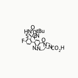 CC(C)(C)OC(=O)Nc1sc2c(F)ccc(-c3c(F)cc4c5c3ncn5CCC3CN(C(=O)O)CCN3C4=O)c2c1C#N